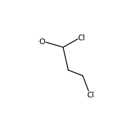 [O]C(Cl)CCCl